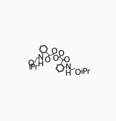 CC(C)OCCNc1ccccc1C(=O)C(=O)OC(=O)C(=O)c1ccccc1NCCOC(C)C